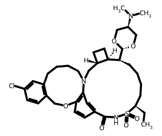 CC[C@@H]1CCCC[C@H]([C@H]2OC[C@H](N(C)C)CO2)[C@@H]2CC[C@H]2CN2CCCCc3cc(Cl)ccc3COc3ccc(cc32)C(=O)NS1(=O)=O